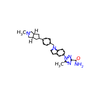 Cc1nc(C(N)=O)nn1-c1ccc2c(ccn2Cc2ccc(C3C[C@@H]4CN(C)C[C@@H]4C3)cc2)c1